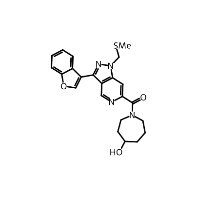 CSCn1nc(-c2coc3ccccc23)c2cnc(C(=O)N3CCCC(O)CC3)cc21